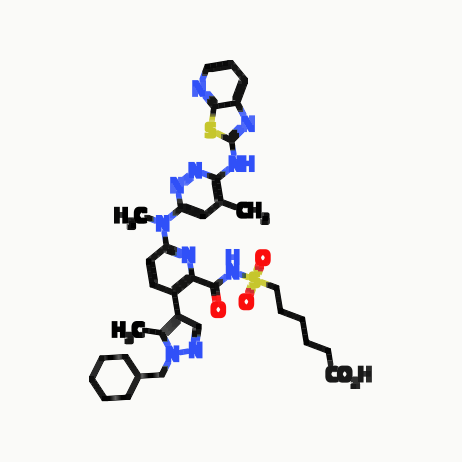 Cc1cc(N(C)c2ccc(-c3cnn(CC4CCCCC4)c3C)c(C(=O)NS(=O)(=O)CCCCCC(=O)O)n2)nnc1Nc1nc2cccnc2s1